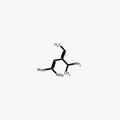 C/C=C(\C=C(NC)NC)C(C)N